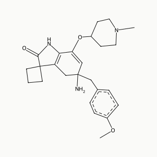 COc1ccc(CC2(N)C=C(OC3CCN(C)CC3)C3=C(C2)C2(CCC2)C(=O)N3)cc1